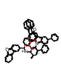 C=C(/C=C(\C(=C\c1ccccc1)n1c2ccc(-c3ccccc3)cc2c2cc(-c3ccccc3)ccc21)c1ccccc1)C1NC(c2ccc3oc4ccccc4c3c2)=NC(c2ccc3oc4ccccc4c3c2)N1